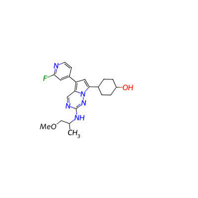 COCC(C)Nc1ncc2c(-c3ccnc(F)c3)cc(C3CCC(O)CC3)n2n1